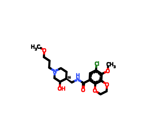 COCCCN1CC[C@@H](CNC(=O)c2cc(Cl)c(OC)c3c2OCCO3)C(O)C1